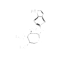 CC(=O)O[C@@H]1[C@@H](OC(C)=O)[C@@H](Oc2ccc3[nH]ccc3c2)SC[C@H]1OC(C)=O